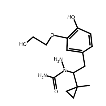 CC1(C(Cc2ccc(O)c(OCCO)c2)N(N)C(N)=O)CC1